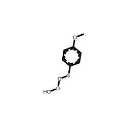 COc1ccc(SOOO)cc1